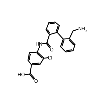 NCc1ccccc1-c1ccccc1C(=O)Nc1ccc(C(=O)O)cc1Cl